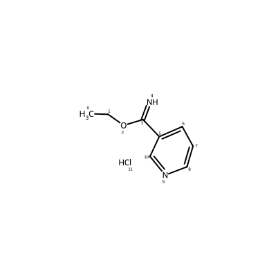 CCOC(=N)c1cccnc1.Cl